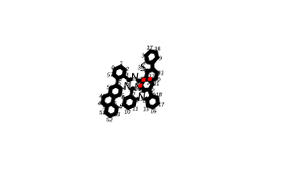 c1ccc(-c2nc(-c3ccccc3-n3c4ccccc4c4ccccc43)nc(-c3cccc4c3sc3ccccc34)n2)c(-c2ccc3c(ccc4ccccc43)c2)c1